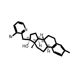 Cc1ccc2c(c1)CC[C@@H]1[C@@H]2CC[C@@]2(C)[C@H]1CC[C@]2(O)Cc1ncccc1Br